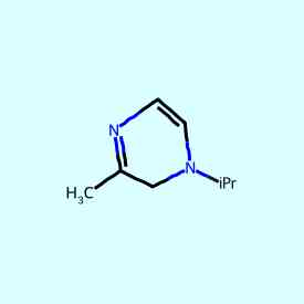 CC1=NC=CN(C(C)C)C1